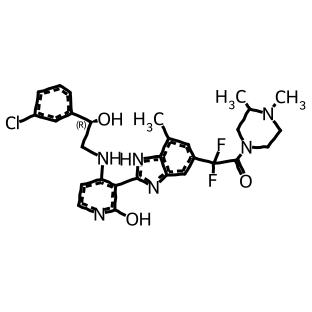 Cc1cc(C(F)(F)C(=O)N2CCN(C)C(C)C2)cc2nc(-c3c(NC[C@H](O)c4cccc(Cl)c4)ccnc3O)[nH]c12